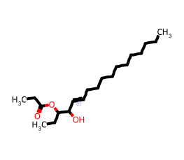 CCCCCCCCCCC/C=C/C(O)C(CC)OC(=O)CC